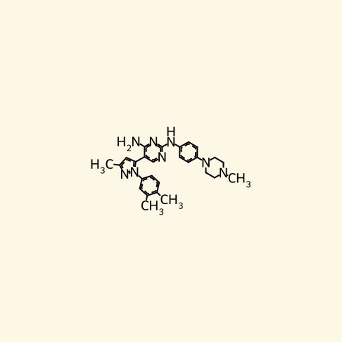 Cc1cc(-c2cnc(Nc3ccc(N4CCN(C)CC4)cc3)nc2N)n(-c2ccc(C)c(C)c2)n1